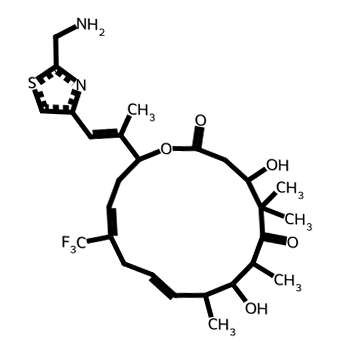 C/C(=C\c1csc(CN)n1)C1C/C=C(/C(F)(F)F)C/C=C/C(C)C(O)C(C)C(=O)C(C)(C)C(O)CC(=O)O1